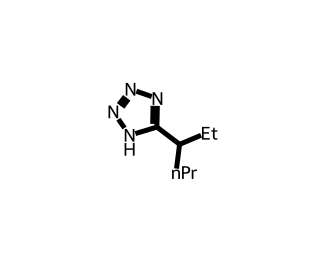 CCCC(CC)c1nnn[nH]1